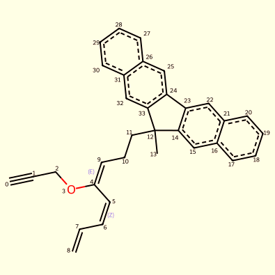 C#CCOC(/C=C\C=C)=C/CCC1(C)c2cc3ccccc3cc2-c2cc3ccccc3cc21